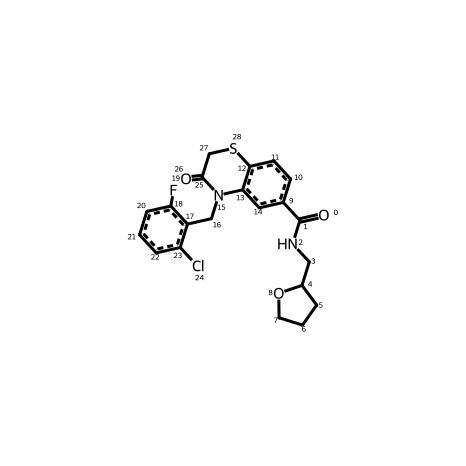 O=C(NCC1CCCO1)c1ccc2c(c1)N(Cc1c(F)cccc1Cl)C(=O)CS2